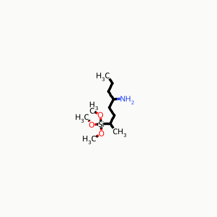 CCCC(N)CCC(C)[Si](OC)(OC)OC